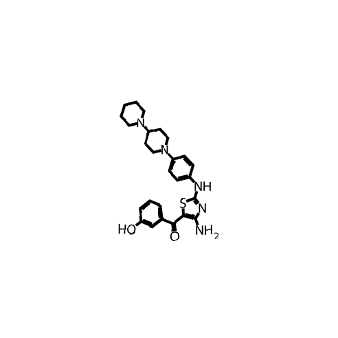 Nc1nc(Nc2ccc(N3CCC(N4CCCCC4)CC3)cc2)sc1C(=O)c1cccc(O)c1